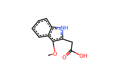 COc1c(CC(=O)O)[nH]c2ccccc12